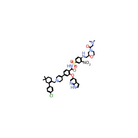 CN(C)CC(=O)N1CCOC(CNc2ccc(S(=O)(=O)NC(=O)c3ccc(C4=CCN(CC5=C(c6ccc(Cl)cc6)CC(C)(C)CC5)CC4)cc3Oc3cnc4[nH]ccc4c3)cc2[N+](=O)[O-])C1